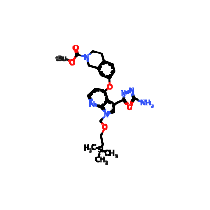 CC(C)(C)OC(=O)N1CCc2ccc(Oc3ccnc4c3c(-c3nnc(N)o3)cn4COCC[Si](C)(C)C)cc2C1